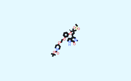 CCS(=O)(=O)CC(C)(/C=C/c1cn(C)c(=O)c2[nH]ccc12)[C@H](C)Oc1cccc(OCCOC2CCN(C(=O)OC(C)(C)C)CC2)c1